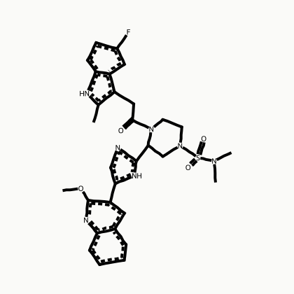 COc1nc2ccccc2cc1-c1cnc(C2CN(S(=O)(=O)N(C)C)CCN2C(=O)Cc2c(C)[nH]c3ccc(F)cc23)[nH]1